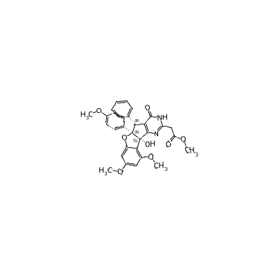 COC(=O)Cc1nc2c(c(=O)[nH]1)[C@@H](c1ccccc1)[C@]1(c3ccc(OC)cc3)Oc3cc(OC)cc(OC)c3[C@]21O